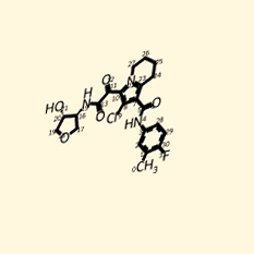 Cc1cc(NC(=O)c2c(Cl)c(C(=O)C(=O)N[C@H]3COC[C@@H]3O)n3c2CCCC3)ccc1F